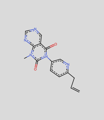 C=CCc1ccc(-n2c(=O)c3cncnc3n(C)c2=O)cn1